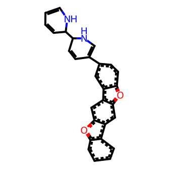 C1=CNC(C2C=CC(c3ccc4oc5cc6c(cc5c4c3)oc3ccccc36)=CN2)C=C1